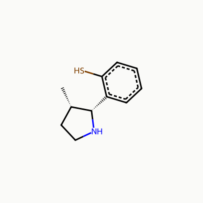 C[C@H]1CCN[C@H]1c1ccccc1S